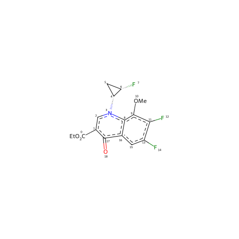 CCOC(=O)c1cn([C@@H]2C[C@@H]2F)c2c(OC)c(F)c(F)cc2c1=O